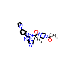 CC(=O)N1CCN(C(=O)C(C)Nc2c(-c3ccc(N4CCCC4)cc3)nc3cnccn23)CC1